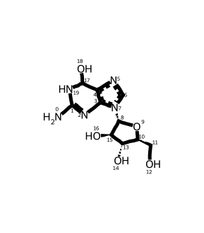 NC1=Nc2c(ncn2[C@@H]2O[C@@H](CO)[C@H](O)[C@H]2O)C(O)N1